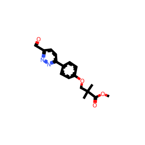 COC(=O)C(C)(C)COc1ccc(-c2ccc(C=O)nn2)cc1